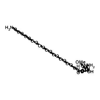 COCCOc1nc(N)c2nc(O)n(Cc3ccc(C(=O)NCCOCCOCCOCCOCCOCCOCCOCCOCCOCCOCCOCCOCCOCCOCCOCCOCCOCCOCCN)cc3)c2n1